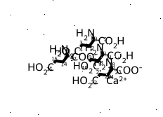 N[C@@H](CCC(=O)O)C(=O)O.N[C@@H](CCC(=O)O)C(=O)O.N[C@@H](CCC(=O)O)C(=O)[O-].N[C@@H](CCC(=O)O)C(=O)[O-].[Ca+2]